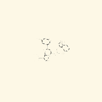 CC(C)c1cnn2c(N[C@H](C)Cc3c[nH]c4ccccc34)cc(-c3cncc(F)c3)nc12